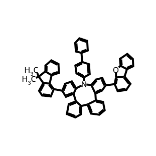 CC1(C)c2ccccc2-c2c(-c3ccc4c(c3)c3ccccc3c3ccccc3c3cc(-c5cccc6c5oc5ccccc56)ccc3n4-c3ccc(-c4ccccc4)cc3)cccc21